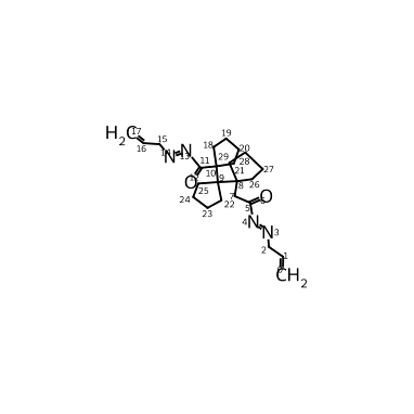 C=CCN=NC(=O)CC1(C2(C3(C(=O)N=NCC=C)CCCC3)CCCC2)CCCC1